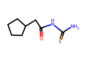 NC(=S)NC(=O)CC1CCCC1